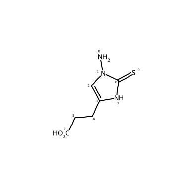 Nn1cc(CCC(=O)O)[nH]c1=S